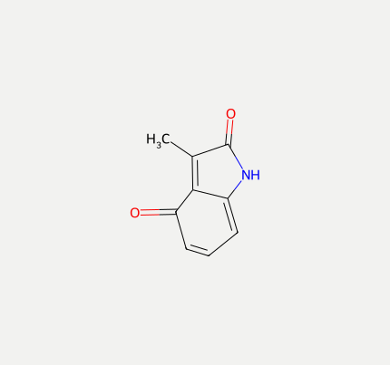 CC1=C2C(=O)C=CC=C2NC1=O